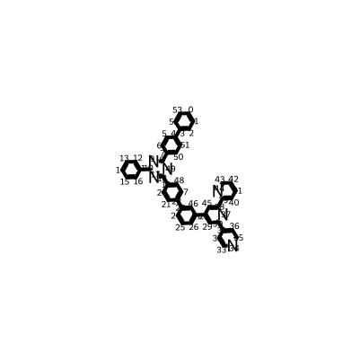 c1ccc(-c2ccc(-c3nc(-c4ccccc4)nc(-c4ccc(-c5cccc(-c6cc(-c7ccncc7)nc(-c7ccccn7)c6)c5)cc4)n3)cc2)cc1